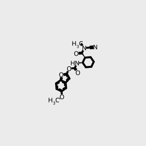 COc1ccc2oc(OC(=O)N[C@@H]3CCCC[C@@H]3C(=O)N(C)C#N)cc2c1